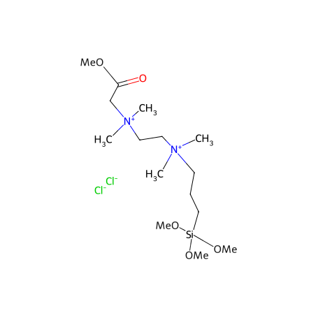 COC(=O)C[N+](C)(C)CC[N+](C)(C)CCC[Si](OC)(OC)OC.[Cl-].[Cl-]